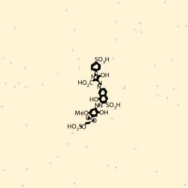 COc1cc(N=Nc2c(S(=O)(=O)O)cc3ccc(N=Nc4c(C(=O)O)nn(-c5ccc(S(=O)(=O)O)cc5)c4O)cc3c2O)c(O)cc1S(=O)(=O)CCOS(=O)(=O)O